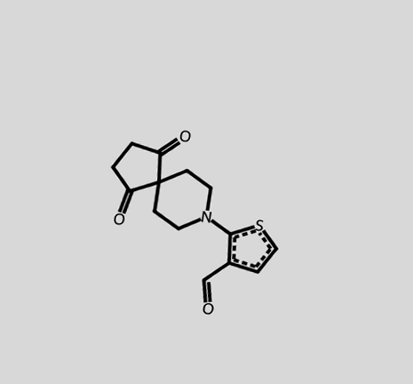 O=Cc1ccsc1N1CCC2(CC1)C(=O)CCC2=O